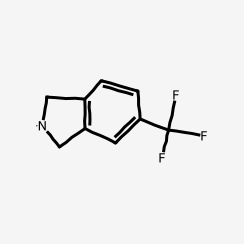 FC(F)(F)c1ccc2c(c1)C[N]C2